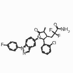 CC1C(=O)N(c2ccc3c(cnn3-c3ccc(F)cc3)c2)C(c2ccccc2Cl)C1CC(F)(F)C(N)=O